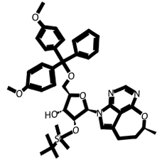 COc1ccc(C(OC[C@H]2O[C@@H](n3cc4c5c(ncnc53)O[C@@H](C)CC4)[C@H](O[Si](C)(C)C(C)(C)C)[C@@H]2O)(c2ccccc2)c2ccc(OC)cc2)cc1